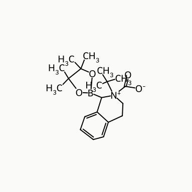 CC1(C)OB(C2c3ccccc3CC[N+]2(C(=O)[O-])C(C)(C)C)OC1(C)C